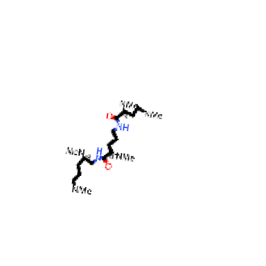 CNCCC[C@@H](CNC(=O)[C@H](CCCNC(=O)[C@H](CCNC)NC)NC)NC